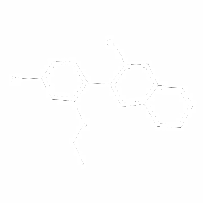 CCSc1cc(Br)ccc1-c1cc2ccccc2cc1Cl